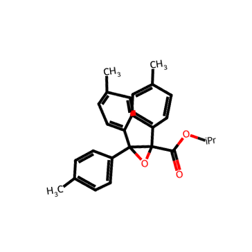 Cc1ccc(C2(C(=O)OC(C)C)OC2(c2ccc(C)cc2)c2ccc(C)cc2)cc1